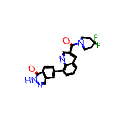 O=C(c1cnc2c(-c3ccc4c(=O)[nH]ncc4c3)cccc2c1)N1CCC(F)(F)CC1